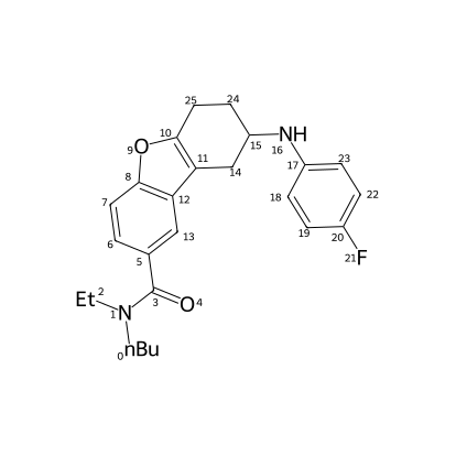 CCCCN(CC)C(=O)c1ccc2oc3c(c2c1)CC(Nc1ccc(F)cc1)CC3